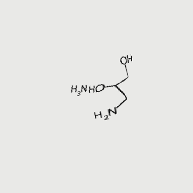 N.NCC(O)CO